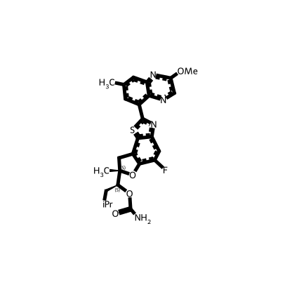 COc1cnc2c(-c3nc4cc(F)c5c(c4s3)C[C@@](C)([C@H](CC(C)C)OC(N)=O)O5)cc(C)cc2n1